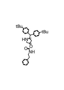 CC(C)(C)c1ccc(C(c2ccc(C(C)(C)C)cc2)[C@H]2C[C@@H](OC(=O)NCCc3ccccc3)CN2)cc1